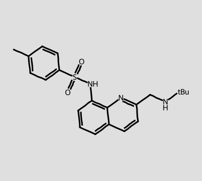 Cc1ccc(S(=O)(=O)Nc2cccc3ccc(CNC(C)(C)C)nc23)cc1